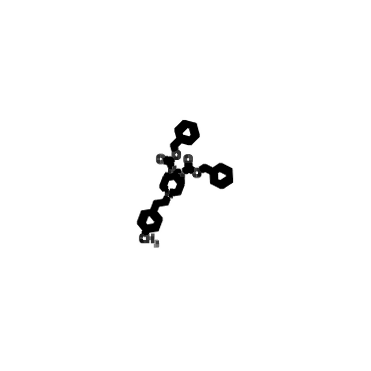 Cc1ccc(CCN2CC3CC(C2)N(C(=O)OCc2ccccc2)N3C(=O)OCc2ccccc2)cc1